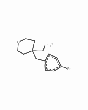 O=C(O)CC1(Cc2ccc(Br)cc2)CCOCC1